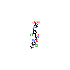 CC(C)Oc1ccc(NC(=O)c2cc(-c3ccc(CN4CC(C(=O)O)C(C)(C)C4)cc3Cl)on2)cc1Cl